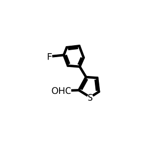 O=Cc1sccc1-c1cccc(F)c1